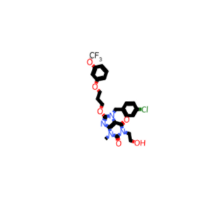 Cn1c(=O)n(CCO)c(=O)c2c1nc(OCCCOc1cccc(OC(F)(F)F)c1)n2Cc1ccc(Cl)cc1